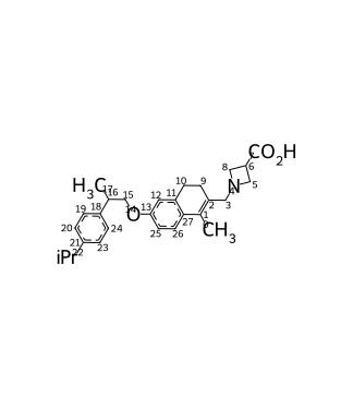 CC1=C(CN2CC(C(=O)O)C2)CCc2cc(OCC(C)c3ccc(C(C)C)cc3)ccc21